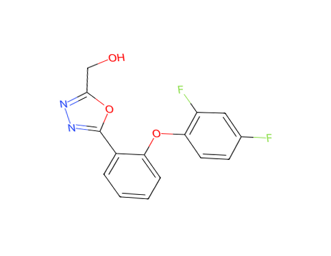 OCc1nnc(-c2ccccc2Oc2ccc(F)cc2F)o1